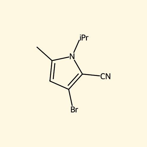 Cc1cc(Br)c(C#N)n1C(C)C